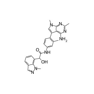 Cc1nc(N)c2c(-c3ccc(NC(=O)C(O)c4cccc5cnn(C)c45)cc3C)cn(C)c2n1